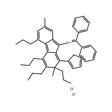 CCCC1=C(CCC)C(C)(CCC)C(C2=CC=CC2)=C2[C]([Zr+2]=[C](c3ccccc3)c3ccccc3)=c3cc(C)cc(CCC)c3=C12.[Cl-].[Cl-]